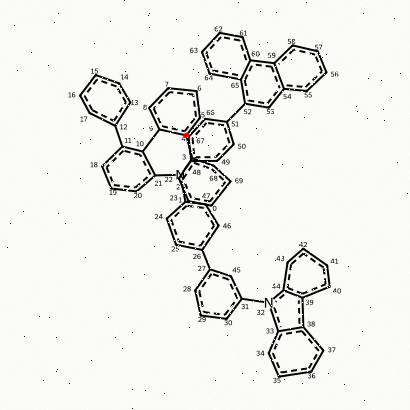 c1ccc(-c2ccccc2-c2c(-c3ccccc3)cccc2N(c2ccc(-c3cccc(-n4c5ccccc5c5ccccc54)c3)cc2)c2ccc(-c3cc4ccccc4c4ccccc34)cc2)cc1